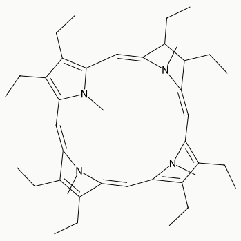 CCc1c(CC)c2n(C)c1/C=C1/C(CC)C(CC)/C(=C/c3c(CC)c(CC)c(n3C)/C=c3/c(CC)c(CC)/c(n3C)=C/2)N1C